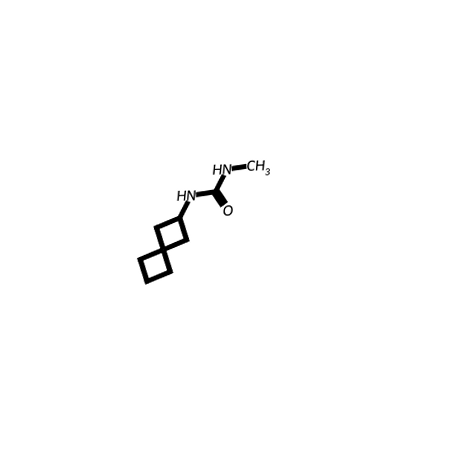 CNC(=O)NC1CC2(CCC2)C1